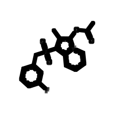 CC(=O)Oc1c(C)c(S(=O)(=O)Cc2cccc(F)c2)c2ccccn12